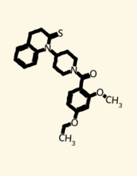 CCOc1ccc(C(=O)N2CCC(N3C(=S)CCc4ccccc43)CC2)c(OC)c1